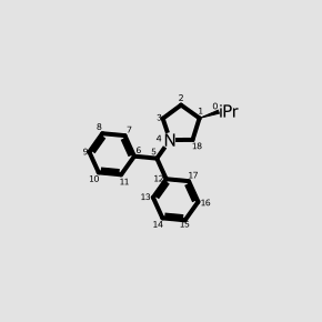 CC(C)[C@@H]1CCN(C(c2ccccc2)c2ccccc2)C1